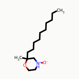 CCCCCCCCCCC1(C)C[NH+]([O-])CCO1